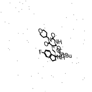 CC(C)(C)[S@+]([O-])N[C@@]1(CC[C@H]2C(=O)NC(=O)N(C3CCOCC3)C2=O)CCc2cc(F)ccc21